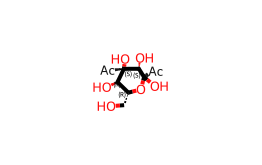 CC(=O)C1(O)O[C@H](CO)[C@@H](O)[C@@](O)(C(C)=O)[C@@H]1O